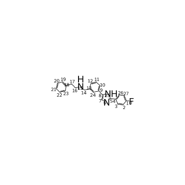 Fc1ccc(-c2ncc(-c3cccc(CNCCc4ccccc4)c3)[nH]2)cc1